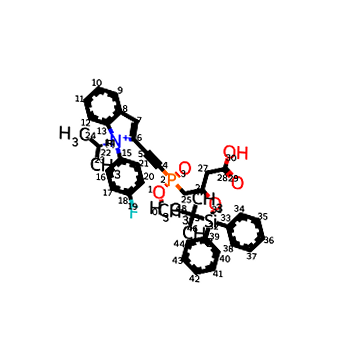 COP(=O)(C#CC1=Cc2ccccc2[N@@+]1(c1ccc(F)cc1)C(C)C)CC(CC(=O)O)O[Si](c1ccccc1)(c1ccccc1)C(C)(C)C